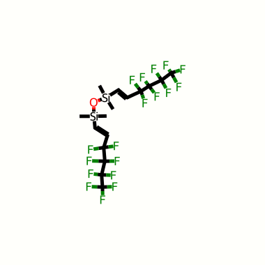 C[Si](C)(C=CC(F)(F)C(F)(F)C(F)(F)C(F)(F)F)O[Si](C)(C)C=CC(F)(F)C(F)(F)C(F)(F)C(F)(F)F